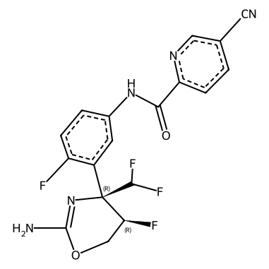 N#Cc1ccc(C(=O)Nc2ccc(F)c([C@@]3(C(F)F)N=C(N)OC[C@@H]3F)c2)nc1